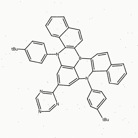 CC(C)(C)c1ccc(N2c3cc(-c4ncncn4)cc4c3B(c3ccc5ccccc5c32)c2ccc3ccccc3c2N4c2ccc(C(C)(C)C)cc2)cc1